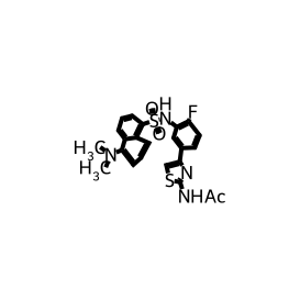 CC(=O)Nc1nc(-c2ccc(F)c(NS(=O)(=O)c3cccc4c(N(C)C)cccc34)c2)cs1